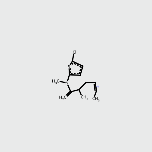 C=C(C(C)C/C=C\C)N(C)c1ccc(Cl)s1